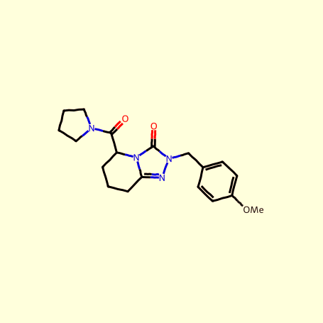 COc1ccc(Cn2nc3n(c2=O)C(C(=O)N2CCCC2)CCC3)cc1